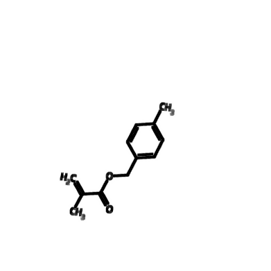 C=C(C)C(=O)OCc1ccc(C)cc1